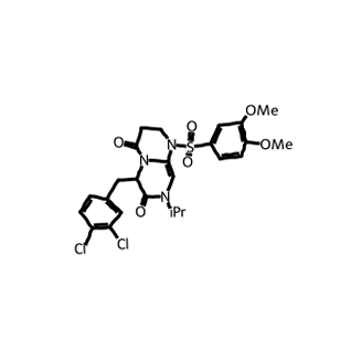 COc1ccc(S(=O)(=O)N2CCC(=O)N3C2=CN(C(C)C)C(=O)C3Cc2ccc(Cl)c(Cl)c2)cc1OC